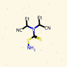 CCC(C#N)N(C(=S)SN)C(C#N)CC